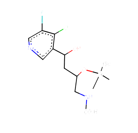 CC(C)(C)[Si](C)(C)OC(CNC(=O)O)CC(O)c1cncc(F)c1Cl